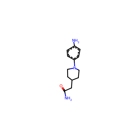 NC(=O)CC1CCN(c2ccc(N)cc2)CC1